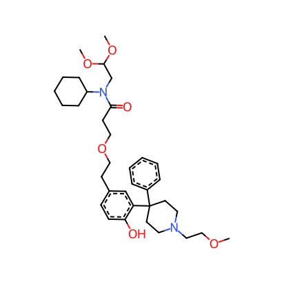 COCCN1CCC(c2ccccc2)(c2cc(CCOCCC(=O)N(CC(OC)OC)C3CCCCC3)ccc2O)CC1